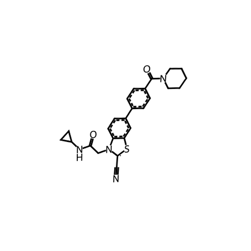 N#C[C]1Sc2cc(-c3ccc(C(=O)N4CCCCC4)cc3)ccc2N1CC(=O)NC1CC1